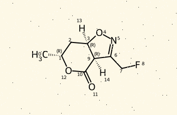 C[C@@H]1C[C@H]2ON=C(CF)[C@H]2C(=O)O1